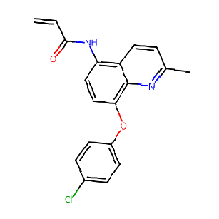 C=CC(=O)Nc1ccc(Oc2ccc(Cl)cc2)c2nc(C)ccc12